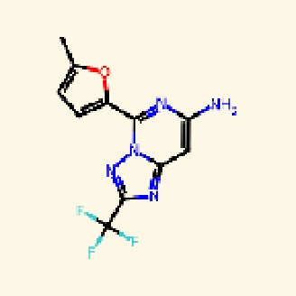 Cc1ccc(-c2nc(N)cc3nc(C(F)(F)F)nn23)o1